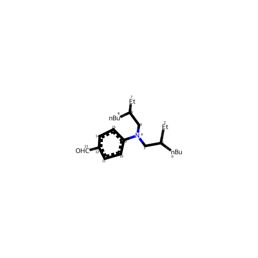 CCCCC(CC)CN(CC(CC)CCCC)c1ccc(C=O)cc1